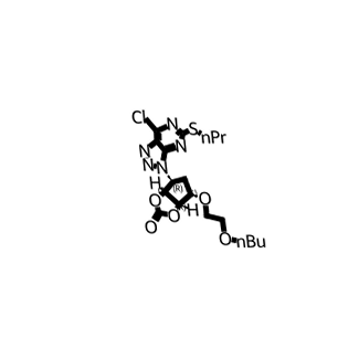 CCCCOCCO[C@H]1C[C@@H](n2nnc3c(Cl)nc(SCCC)nc32)[C@@H]2OC(=O)O[C@@H]21